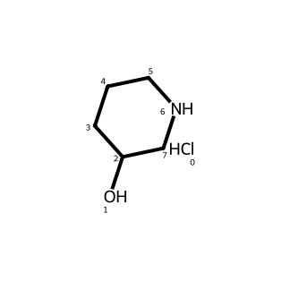 Cl.OC1CCCNC1